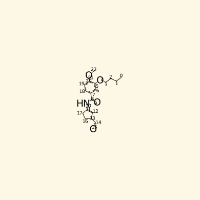 CCCCOc1cc(C(=O)NC2=CC(C=O)CC2)ccc1OC